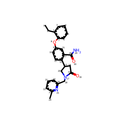 CCc1ccccc1Oc1ccc(C2CC(=O)N(Cc3cccc(C)n3)C2)c(C(N)=O)c1